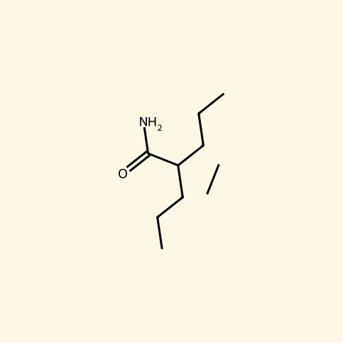 CC.CCCC(CCC)C(N)=O